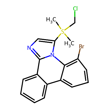 CS(C)(CCl)c1cnc2c3ccccc3c3cccc(Br)c3n12